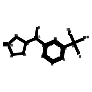 CN(c1cccc(C(F)(F)F)c1)C1CCNC1